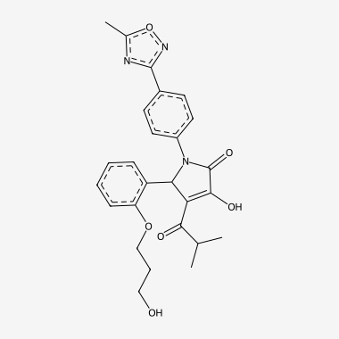 Cc1nc(-c2ccc(N3C(=O)C(O)=C(C(=O)C(C)C)C3c3ccccc3OCCCO)cc2)no1